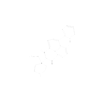 NCC1(n2c(=O)c3ccc4sc5ccccc5c5ccc(c2=O)c3c45)CCNCC1